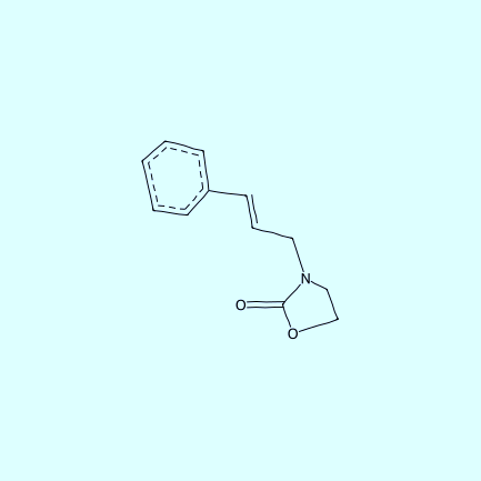 O=C1OCCN1CC=Cc1ccccc1